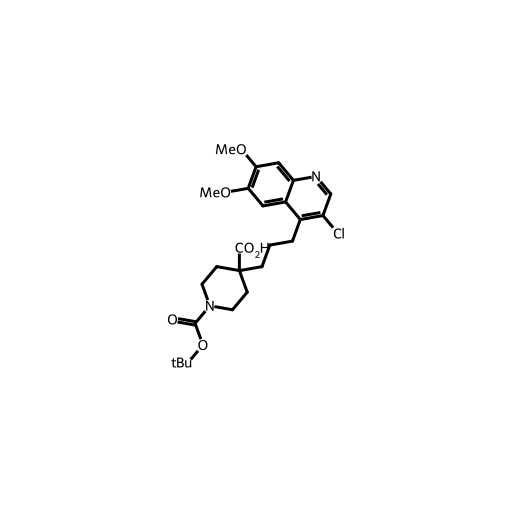 COc1cc2ncc(Cl)c(CCCC3(C(=O)O)CCN(C(=O)OC(C)(C)C)CC3)c2cc1OC